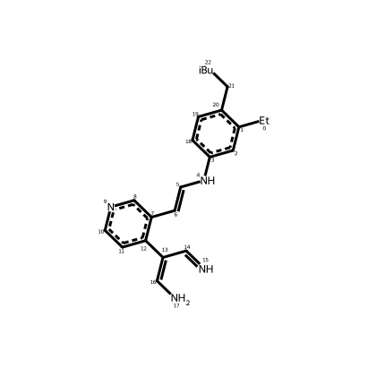 CCc1cc(N/C=C/c2cnccc2/C(C=N)=C/N)ccc1CC(C)CC